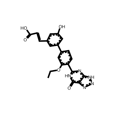 CCOc1cc(-c2cc(O)cc(/C=C/C(=O)O)c2)ccc1-c1nc2[nH]nnc2c(=O)[nH]1